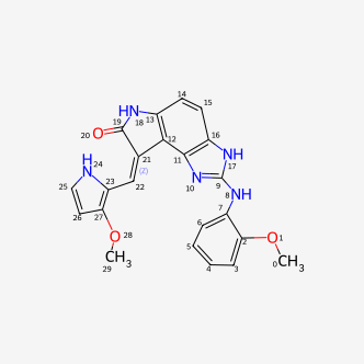 COc1ccccc1Nc1nc2c3c(ccc2[nH]1)NC(=O)/C3=C\c1[nH]ccc1OC